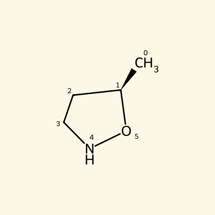 C[C@@H]1CCNO1